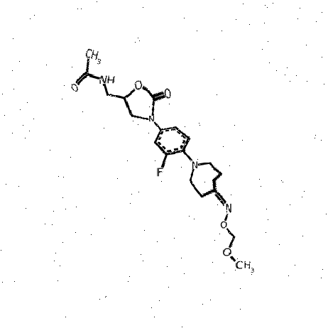 COCON=C1CCN(c2ccc(N3CC(CNC(C)=O)OC3=O)cc2F)CC1